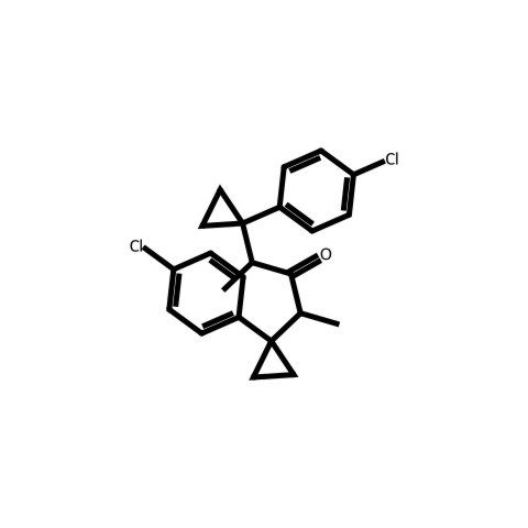 CC(C(=O)C(C)C1(c2ccc(Cl)cc2)CC1)C1(c2ccc(Cl)cc2)CC1